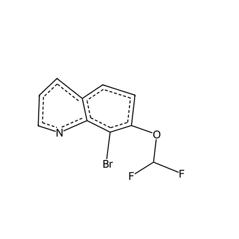 FC(F)Oc1ccc2cccnc2c1Br